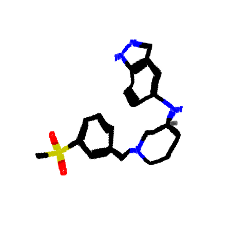 CS(=O)(=O)c1cccc(CN2CCC[C@H](Nc3ccc4[nH]ncc4c3)C2)c1